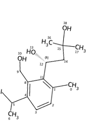 Cc1ccc(C(C)I)c(CO)c1[C@H](O)CC(C)(C)O